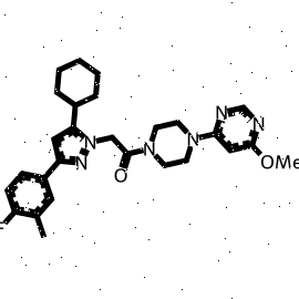 COc1cc(N2CCN(C(=O)Cn3nc(-c4ccc(F)c(C)c4)cc3C3CCCCC3)CC2)ncn1